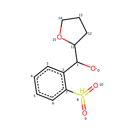 [O]C(c1ccccc1[SH](=O)=O)C1CCCO1